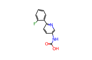 O=C(O)Nc1ccc(-c2ccccc2F)nc1